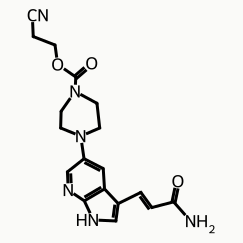 N#CCCOC(=O)N1CCN(c2cnc3[nH]cc(C=CC(N)=O)c3c2)CC1